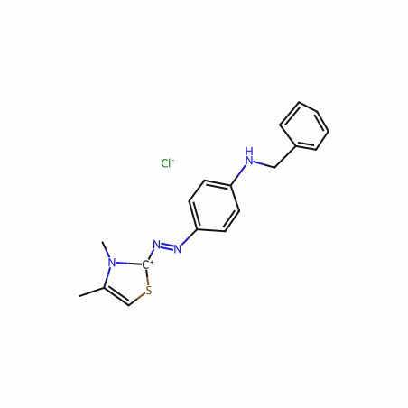 Cc1cs[c+](N=Nc2ccc(NCc3ccccc3)cc2)n1C.[Cl-]